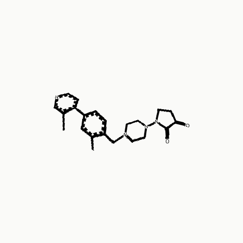 Cc1cc(-c2ccncc2C)ccc1CN1CCN(N2CCC(=O)C2=O)CC1